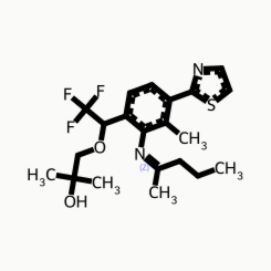 CCC/C(C)=N\c1c(C(OCC(C)(C)O)C(F)(F)F)ccc(-c2nccs2)c1C